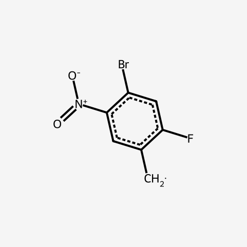 [CH2]c1cc([N+](=O)[O-])c(Br)cc1F